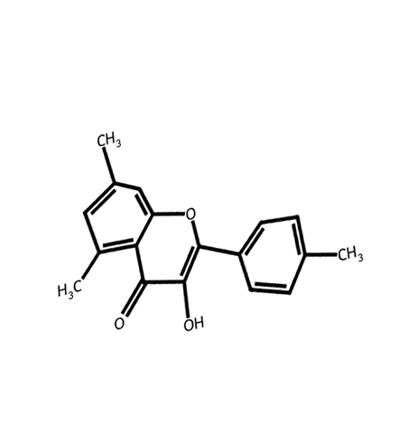 Cc1ccc(-c2oc3cc(C)cc(C)c3c(=O)c2O)cc1